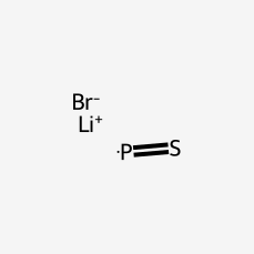 [Br-].[Li+].[P]=S